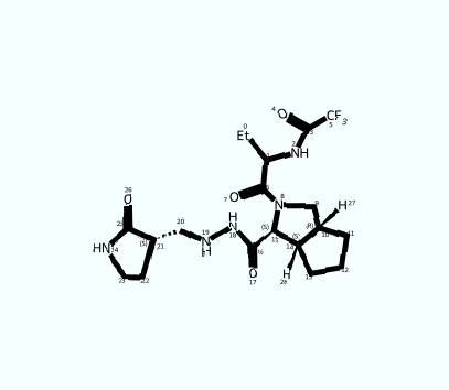 CCC(NC(=O)C(F)(F)F)C(=O)N1C[C@@H]2CCC[C@@H]2[C@H]1C(=O)NNC[C@@H]1CCNC1=O